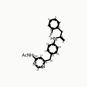 C=C(Cc1ccccc1F)Nc1ccc(Cc2cc(NC(C)=O)ncn2)cc1